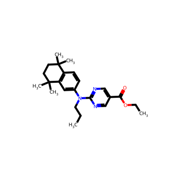 CCCN(c1ccc2c(c1)C(C)(C)CCC2(C)C)c1ncc(C(=O)OCC)cn1